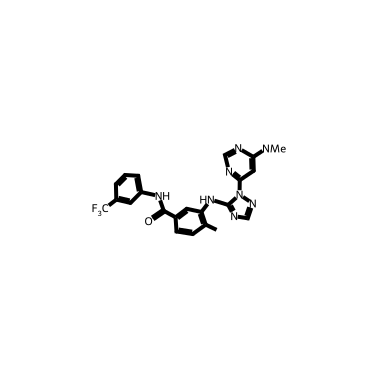 CNc1cc(-n2ncnc2Nc2cc(C(=O)Nc3cccc(C(F)(F)F)c3)ccc2C)ncn1